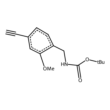 C#Cc1ccc(CNC(=O)OC(C)(C)C)c(OC)c1